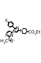 CCOC(=O)C1CCN(c2cn(-c3ccnc([S+](C)[O-])n3)c(-c3ccc(F)cc3)n2)CC1